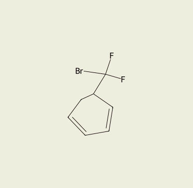 FC(F)(Br)C1C=CC=CC1